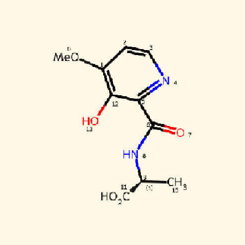 COc1ccnc(C(=O)N[C@@H](C)C(=O)O)c1O